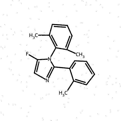 Cc1ccccc1-c1ncc(F)n1-c1c(C)cccc1C